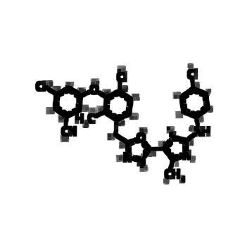 Cc1nc(Nc2ccc(Cl)cc2)sc1-c1nnc(Cc2ccc(Cl)c(Oc3cc(Cl)cc(C#N)c3)c2C)o1